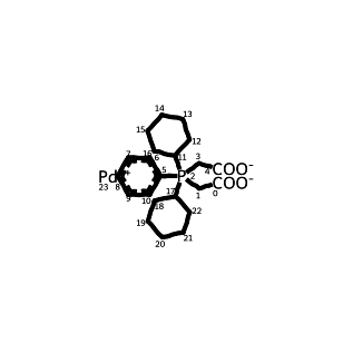 O=C([O-])CP(CC(=O)[O-])(c1ccccc1)(C1CCCCC1)C1CCCCC1.[Pd+2]